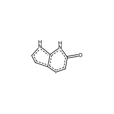 O=c1c[c]c2cc[nH]c2[nH]1